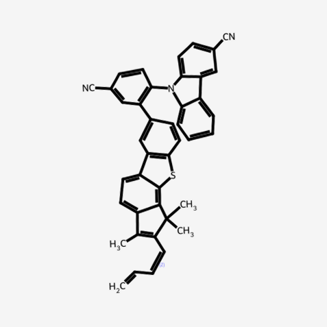 C=C/C=C\C1=C(C)c2ccc3c(sc4ccc(-c5cc(C#N)ccc5-n5c6ccccc6c6cc(C#N)ccc65)cc43)c2C1(C)C